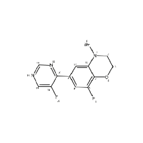 CC(C)N1CCOc2c(F)cc(-c3ncncc3F)cc21